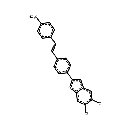 O=C(O)c1ccc(/C=C/c2ccc(-c3cc4cc(Cl)c(Cl)cc4o3)cc2)cc1